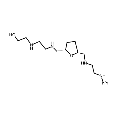 CCCNCCNC[C@H]1CC[C@@H](CNCCNCCO)O1